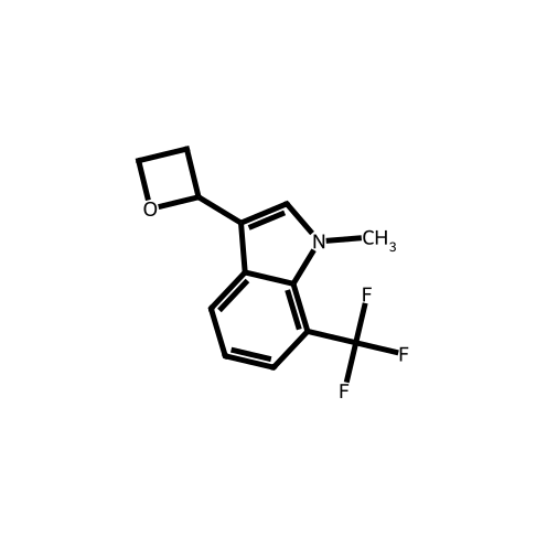 Cn1cc(C2CCO2)c2cccc(C(F)(F)F)c21